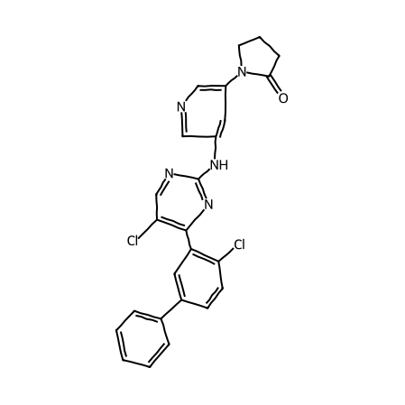 O=C1CCCN1c1cncc(Nc2ncc(Cl)c(-c3cc(-c4ccccc4)ccc3Cl)n2)c1